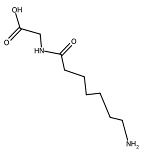 NCCCCCCC(=O)NCC(=O)O